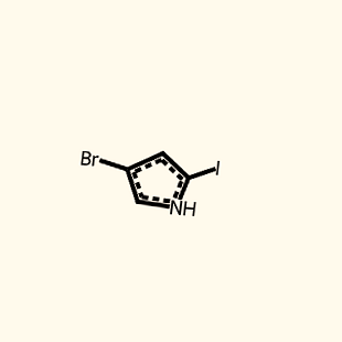 Brc1c[nH]c(I)c1